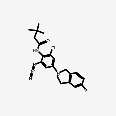 CC(C)(C)CC(=O)Nc1c(Cl)cc(N2CCc3cc(F)ccc3C2)cc1N=[N+]=[N-]